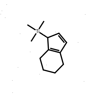 [CH3][Ti]([CH3])([CH3])[CH]1C=CC2=C1CCCC2